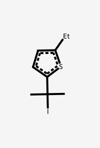 CCc1ccc(C(C)(C)I)s1